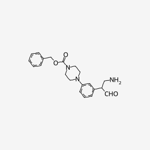 NCC(C=O)c1cccc(N2CCN(C(=O)OCc3ccccc3)CC2)c1